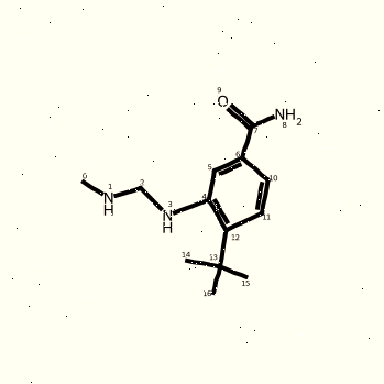 CNCNc1cc(C(N)=O)ccc1C(C)(C)C